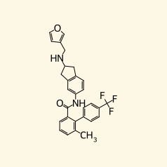 Cc1cccc(C(=O)Nc2ccc3c(c2)CC(NCc2ccoc2)C3)c1-c1ccc(C(F)(F)F)cc1